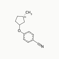 C[C@H]1CCC(Oc2ccc(C#N)cc2)C1